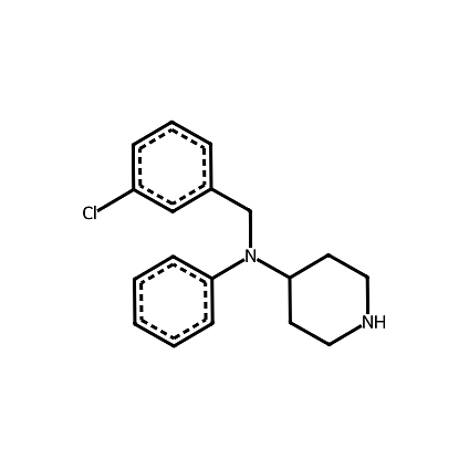 Clc1cccc(CN(c2ccccc2)C2CCNCC2)c1